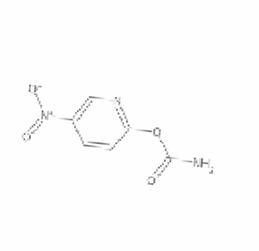 NC(=O)Oc1ccc([N+](=O)[O-])cn1